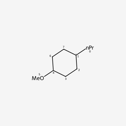 CCC[C]1CCC(OC)CC1